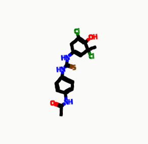 CC(=O)Nc1ccc(NC(=S)NC2=CC(C)(Cl)C(O)=C(Cl)C2)cc1